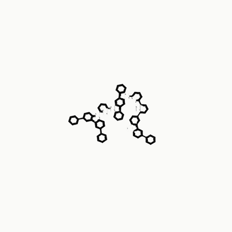 c1ccc(-c2ccc3oc4ccc(-c5cccc(-c6cccc(-n7c8ccccc8c8cc9c(cc87)c7ccccc7n9-c7cccc(-n8c9ccc(-c%10ccccc%10)cc9c9cc(-c%10ccccc%10)ccc98)n7)n6)n5)cc4c3c2)cc1